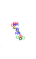 O=C(NO)c1ccc(-c2ccc(CNCCOc3c(Cl)cccc3Cl)cn2)s1